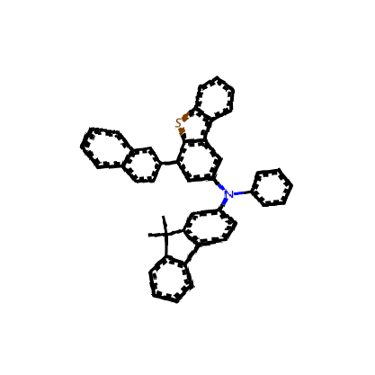 CC1(C)c2ccccc2-c2ccc(N(c3ccccc3)c3cc(-c4ccc5ccccc5c4)c4sc5ccccc5c4c3)cc21